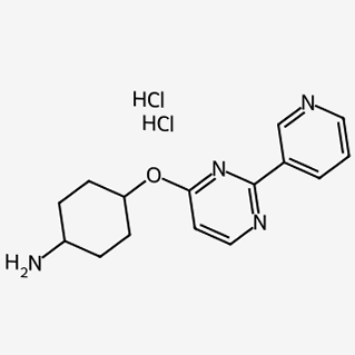 Cl.Cl.NC1CCC(Oc2ccnc(-c3cccnc3)n2)CC1